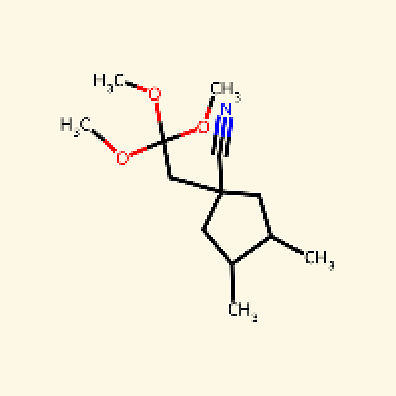 COC(CC1(C#N)CC(C)C(C)C1)(OC)OC